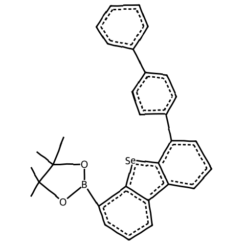 CC1(C)OB(c2cccc3c2[se]c2c(-c4ccc(-c5ccccc5)cc4)cccc23)OC1(C)C